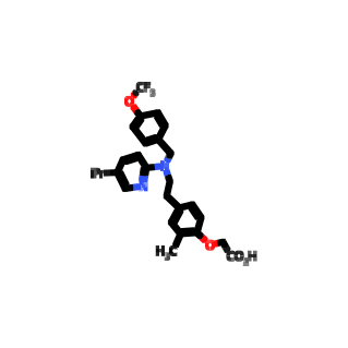 Cc1cc(CCN(Cc2ccc(OC(F)(F)F)cc2)c2ccc(C(C)C)cn2)ccc1OCC(=O)O